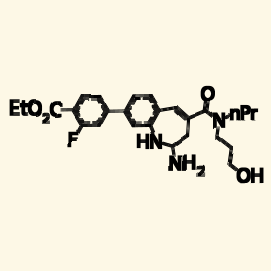 CCCN(CCCO)C(=O)C1=Cc2ccc(-c3ccc(C(=O)OCC)c(F)c3)cc2NC(N)C1